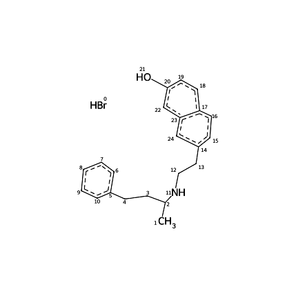 Br.CC(CCc1ccccc1)NCCc1ccc2ccc(O)cc2c1